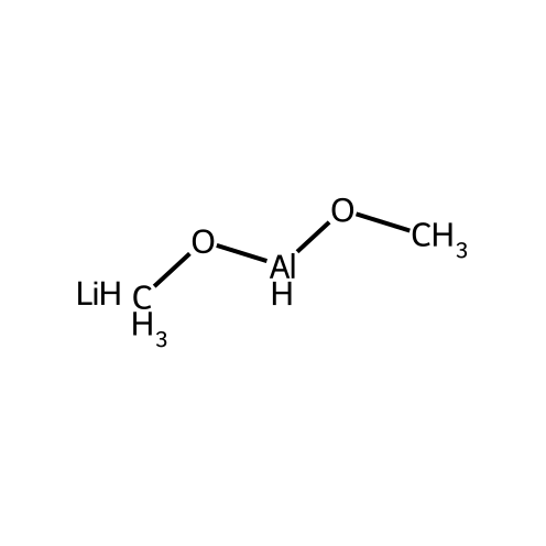 C[O][AlH][O]C.[LiH]